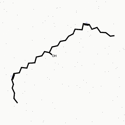 CCCCC/C=C\CCCCCCCCC(O)CCCCCCCC/C=C\CCCCCC